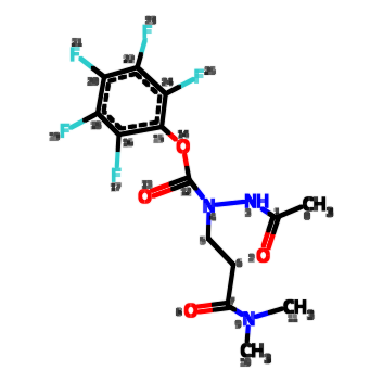 CC(=O)NN(CCC(=O)N(C)C)C(=O)Oc1c(F)c(F)c(F)c(F)c1F